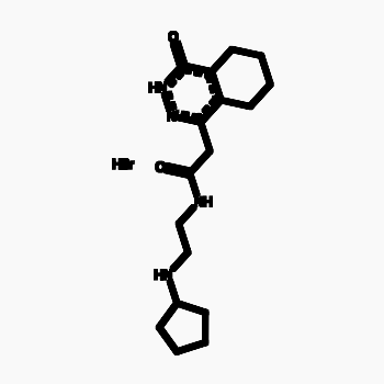 Br.O=C(Cc1n[nH]c(=O)c2c1CCCC2)NCCNC1CCCC1